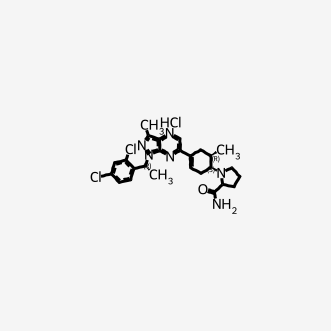 Cc1nn([C@H](C)c2ccc(Cl)cc2Cl)c2nc(C3=CC[C@H](N4CCCC4C(N)=O)[C@H](C)C3)cnc12.Cl